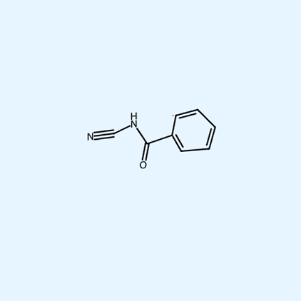 N#CNC(=O)c1[c]cccc1